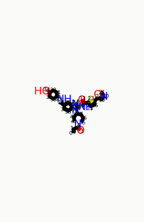 C=CC(=O)N1CCC[C@@H](n2c(NC(=O)c3ccc(-c4cnco4)s3)nc3cc(CN[C@H]4CC[C@H](O)CC4)ccc32)CC1